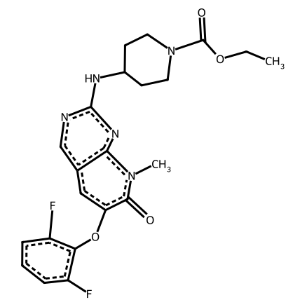 CCOC(=O)N1CCC(Nc2ncc3cc(Oc4c(F)cccc4F)c(=O)n(C)c3n2)CC1